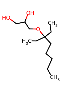 CCCCCC(CC)(CC)OCC(O)CO